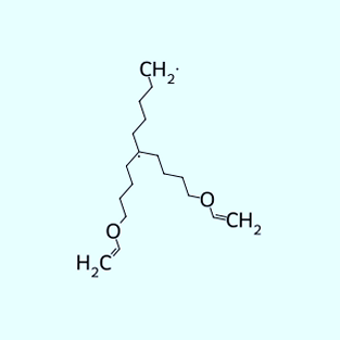 [CH2]CCCC[C](CCCCOC=C)CCCCOC=C